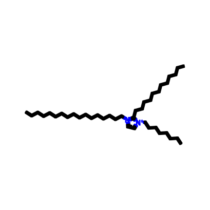 CCCCCCCCCCCCCCCCCn1cc[n+](CCCCCCCC)c1CCCCCCCCCCCC